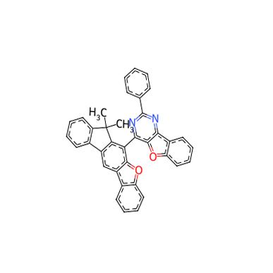 CC1(C)c2ccccc2-c2cc3c(oc4ccccc43)c(-c3nc(-c4ccccc4)nc4c3oc3ccccc34)c21